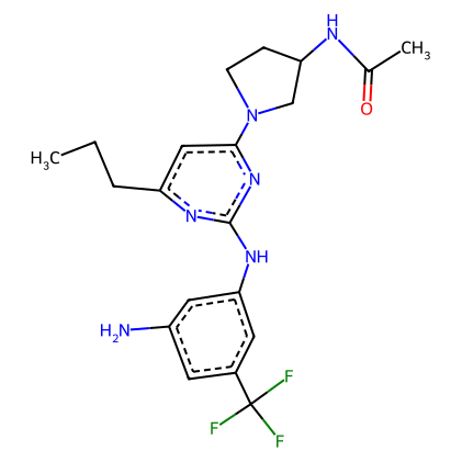 CCCc1cc(N2CCC(NC(C)=O)C2)nc(Nc2cc(N)cc(C(F)(F)F)c2)n1